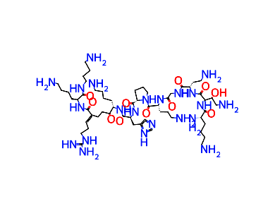 N=C(N)NCC/C=C(\CCC(=O)[C@H](CCCCN)NC(=O)[C@H](Cc1cnc[nH]1)NC(=O)[C@@H]1CCCN1C(=O)[C@@H](CCCN)NC(=O)CNC(=O)[C@H](CCN)NC(=O)[C@@H](NC(=O)[C@@H](N)CCCCN)[C@@H](O)CN)C(=O)N[C@@H](CCCCN)C(=O)NCCCCN